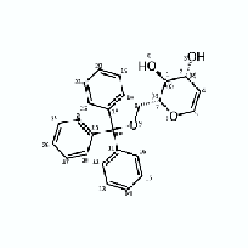 O[C@H]1[C@H](O)C=CO[C@@H]1COC(c1ccccc1)(c1ccccc1)c1ccccc1